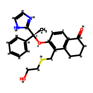 C[C@](Oc1ccc2c(c1CSCCO)CCCC2=O)(c1ccccc1)c1ncc[nH]1